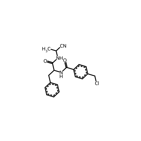 CC(C#N)NC(=O)C(Cc1ccccc1)NC(=O)c1ccc(CCl)cc1